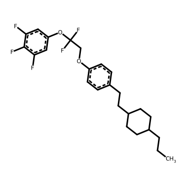 CCCC1CCC(CCc2ccc(OCC(F)(F)Oc3cc(F)c(F)c(F)c3)cc2)CC1